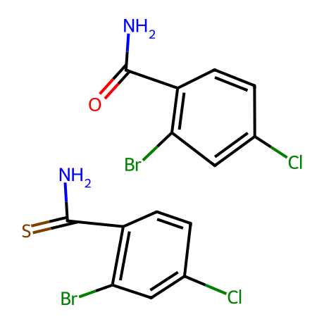 NC(=O)c1ccc(Cl)cc1Br.NC(=S)c1ccc(Cl)cc1Br